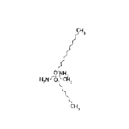 CCCCCCCCCCCCCCCCOC(CCN)(OCCCCCCCCCC)C(N)CC